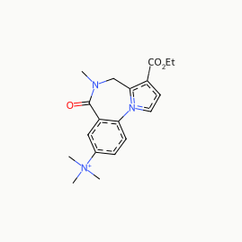 CCOC(=O)c1ccn2c1CN(C)C(=O)c1cc([N+](C)(C)C)ccc1-2